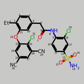 CCc1ccc(CC(=O)Nc2ccc(S(N)(=O)=O)cc2Cl)cc1Oc1cc(C#N)cc(C#N)c1Cl